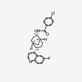 O=C(N[C@H]1CC[C@@H]2C[C@H]1CC[C@@H]2c1ccnc2ccc(F)cc12)c1ccc(Cl)cc1